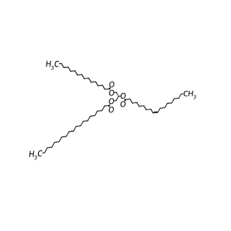 CCCCCCCC/C=C\CCCCCCCC(=O)O[C@H](COC(=O)CCCCCCCCCCCCCCC)COC(=O)CCCCCCCCCCCCCCCCCCC